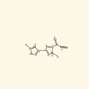 CNC(=O)c1cc(-c2csc(C)n2)cn1C